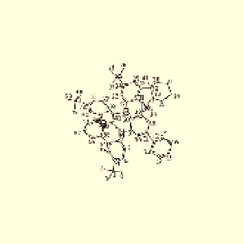 CC(C)(C)c1ccc(N2c3cc(-c4ccccc4)cc4c3B(c3cc(C(C)(C)C)cc5c3N4C3(C)CCCCC53C)c3c2oc2cc(C(C)(C)C)ccc32)c(-c2ccccc2)c1